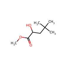 COC(=O)C(O)CC(C)(C)C